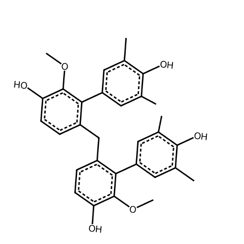 COc1c(O)ccc(Cc2ccc(O)c(OC)c2-c2cc(C)c(O)c(C)c2)c1-c1cc(C)c(O)c(C)c1